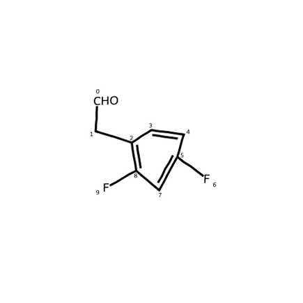 O=CCc1ccc(F)cc1F